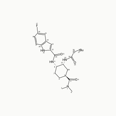 CN(C)C(=O)[C@H]1CC[C@H](NC(=O)c2cc3cc(F)ccc3[nH]2)[C@H](NC(=O)OC(C)(C)C)C1